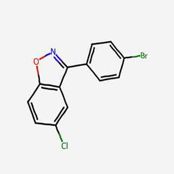 Clc1ccc2onc(-c3ccc(Br)cc3)c2c1